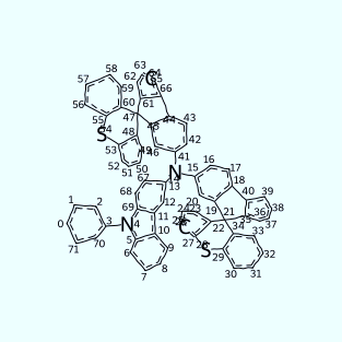 c1ccc(-n2c3ccccc3c3cc(N(c4ccc5c(c4)C4(c6ccccc6Sc6ccccc64)c4ccccc4-5)c4ccc5c(c4)C4(c6ccccc6Sc6ccccc64)c4ccccc4-5)ccc32)cc1